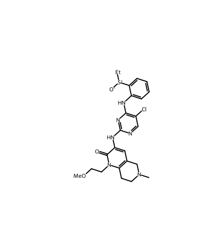 CC[S+]([O-])c1ccccc1Nc1nc(Nc2cc3c(n(CCOC)c2=O)CCN(C)C3)ncc1Cl